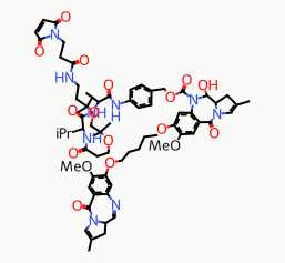 COc1cc2c(cc1OCCCCCOc1cc3c(cc1OC)C(=O)N1C=C(C)CC1C(O)N3C(=O)OCc1ccc(NC(=O)C(C)NC(=O)C(NC(=O)CCOC(C)(C)COC(C)(C)CCNC(=O)CCN3C(=O)C=CC3=O)C(C)C)cc1)N=CC1CC(C)=CN1C2=O